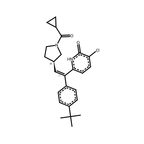 CC(C)(C)c1ccc(/C(=C/[C@H]2CCN(C(=O)C3CC3)C2)c2ccc(Cl)c(=O)[nH]2)cc1